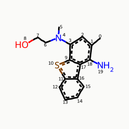 Cc1cc(N(C)CCO)c2sc3ccccc3c2c1N